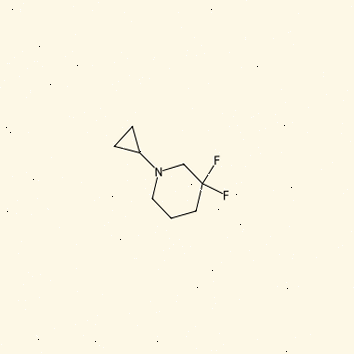 FC1(F)CCCN(C2CC2)C1